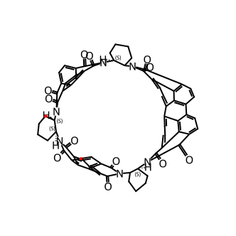 O=C1c2ccc3c4c5ccc(c24)C(=O)N1C1CCCC[C@@H]1N1C(=O)c2ccc4c6ccc7c8c(ccc(c9ccc(c2c49)C1=O)c86)C(=O)N(C7=O)C1CCCC[C@@H]1N1C(=O)c2ccc4c6c(ccc(c26)C1=O)C(=O)N(C4=O)[C@H]1CCCC[C@@H]1N(C3=O)C5=O